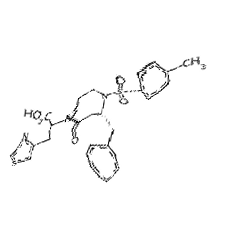 Cc1ccc(S(=O)(=O)N2CCN(C(Cc3cscn3)C(=O)O)C(=O)[C@H]2Cc2ccccc2)cc1